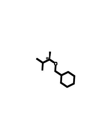 CC(C)[C@@H](C)OCC1CCCCC1